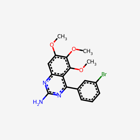 COc1cc2nc(N)nc(-c3cccc(Br)c3)c2c(OC)c1OC